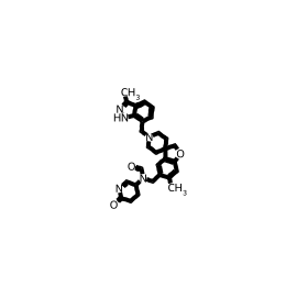 Cc1cc2c(cc1CN(C=O)C1C=NC(=O)CC1)C1(CCN(Cc3cccc4c(C)n[nH]c34)CC1)CO2